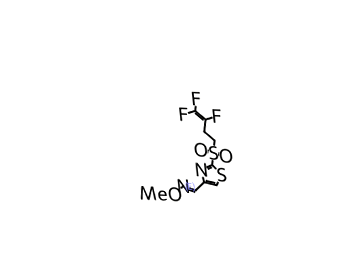 CO/N=C/c1csc(S(=O)(=O)CCC(F)=C(F)F)n1